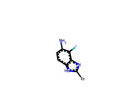 CCc1nc2c(F)c(N)ccc2[nH]1